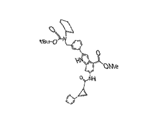 COC(=O)c1cc(NC(=O)C2CC2c2ccccc2)cc2[nH]c(-c3cccc(CN(C(=O)OC(C)(C)C)C4CCC4)c3)cc12